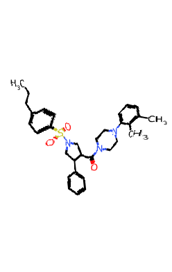 CCCc1ccc(S(=O)(=O)N2CC(C(=O)N3CCN(c4cccc(C)c4C)CC3)C(c3ccccc3)C2)cc1